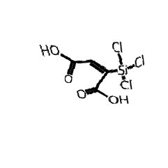 O=C(O)/C=C(\C(=O)O)[Si](Cl)(Cl)Cl